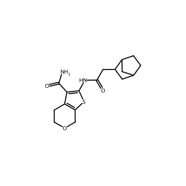 NC(=O)c1c(NC(=O)CC2CC3CCC2C3)sc2c1CCOC2